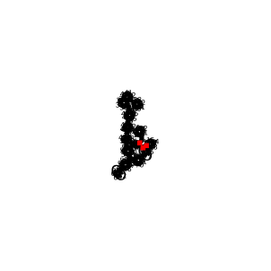 c1ccc(CCCC2(CCCc3ccccc3)c3cc(-c4ccc(-c5ccc(N(c6ccccc6)c6cccc7ccccc67)cc5)cc4)ccc3-c3ccc(N(c4ccc(C5OCCO5)cc4)c4cccc(C5OCCO5)c4)cc32)cc1